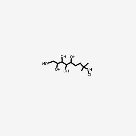 CC(C)(CCC(O)C(O)C(O)C(O)CO)NCl